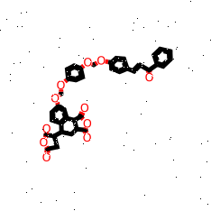 O=C1CC(C2CC3C(=O)OC(=O)C3c3cc(OCOc4ccc(OCOc5ccc(/C=C/C(=O)c6ccccc6)cc5)cc4)ccc32)C(=O)O1